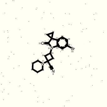 N#CC1(N2CCCCC2)CC(N2C(=O)C3(CC3)c3ccc(Br)cc32)C1